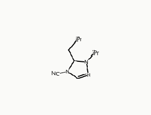 CC(C)CC1N(C#N)C=NN1C(C)C